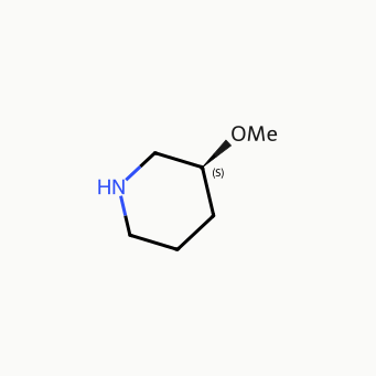 CO[C@H]1CCCNC1